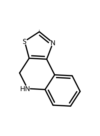 [c]1nc2c(s1)CNc1ccccc1-2